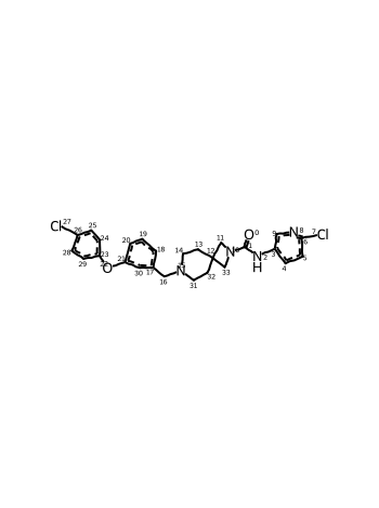 O=C(Nc1ccc(Cl)nc1)N1CC2(CCN(Cc3cccc(Oc4ccc(Cl)cc4)c3)CC2)C1